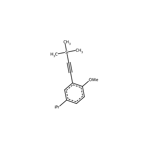 COc1ccc(C(C)C)cc1C#C[Si](C)(C)C